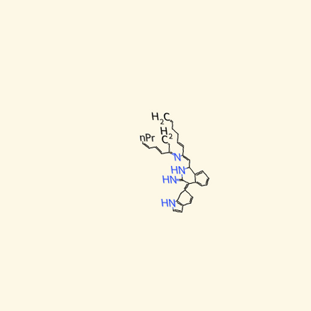 C=CCCC=CC(=CC1NC(=N)/C(=C2/C=Cc3cc[nH]c3C2)c2ccccc21)/N=C(\C=C)C=C/C=C\CCC